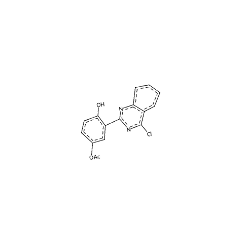 CC(=O)Oc1ccc(O)c(-c2nc(Cl)c3ccccc3n2)c1